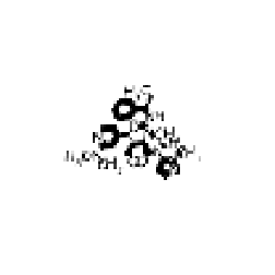 CC[C@@H](NC(=O)N(C)[C@H](C(=O)N(C)c1ccnn1C)[C@H](C=O)Cc1ccnc(N(C)C)c1)c1ccccc1